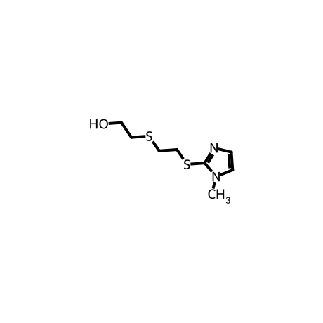 Cn1ccnc1SCCSCCO